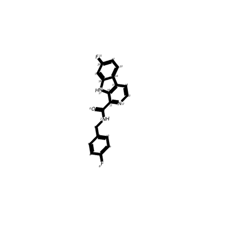 O=C(NCc1ccc(F)cc1)c1nccc2c1[nH]c1cc(F)ccc12